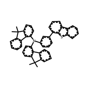 CC1(C)c2ccccc2-c2c(N(c3cccc(-c4cccc5c4sc4ccccc45)c3)c3cccc4c3-c3ccccc3C4(C)C)cccc21